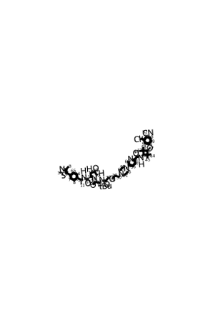 Cc1ncsc1-c1ccc([C@H](C)NC(=O)[C@@H]2C[C@@H](O)CN2C(=O)[C@@H](NC(=O)COCCN2CCN(c3ccc(C(=O)N[C@H]4C(C)(C)[C@H](Oc5ccc(C#N)c(Cl)c5)C4(C)C)nc3)CC2)C(C)(C)C)cc1